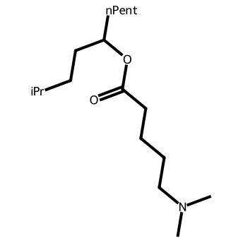 CCCCCC(CCC(C)C)OC(=O)CCCCN(C)C